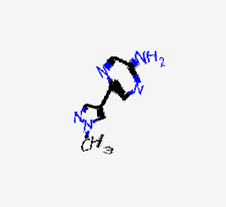 Cn1cc(-c2cnc(N)cn2)cn1